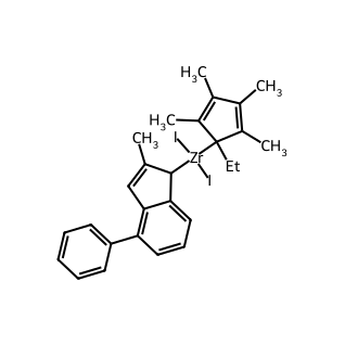 CC[C]1([Zr]([I])([I])[CH]2C(C)=Cc3c(-c4ccccc4)cccc32)C(C)=C(C)C(C)=C1C